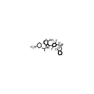 CC(C)n1nc(-c2cc(F)c(NS(=O)(=O)Cc3ccccc3Cl)cc2F)c2c(N)ncc([C@H]3CC[C@H](N)CC3)c21